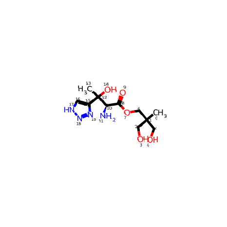 CC(CO)(CO)COC(=O)[C@@H](N)C(C)(O)c1c[nH]nn1